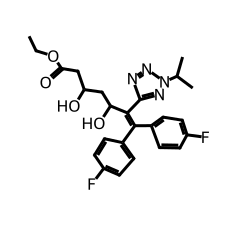 CCOC(=O)CC(O)CC(O)C(=C(c1ccc(F)cc1)c1ccc(F)cc1)c1nnn(C(C)C)n1